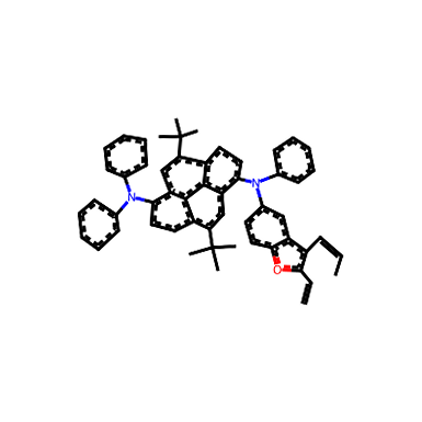 C=Cc1oc2ccc(N(c3ccccc3)c3ccc4c(C(C)(C)C)cc5c(N(c6ccccc6)c6ccccc6)ccc6c(C(C)(C)C)cc3c4c56)cc2c1/C=C\C